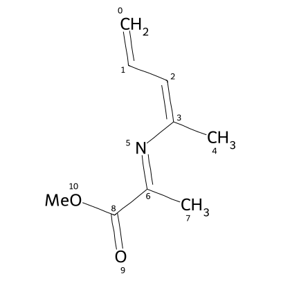 C=C/C=C(C)\N=C(/C)C(=O)OC